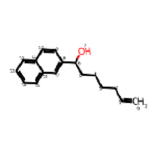 C=CCCCCC(O)c1ccc2ccccc2c1